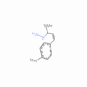 CNC(/C=C\c1ccc(SC)cc1)NN